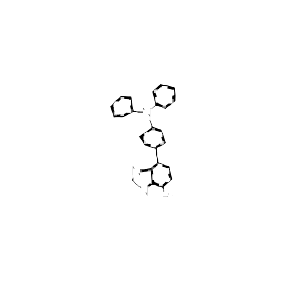 Brc1ccc(-c2ccc(N(c3ccccc3)c3ccccc3)cc2)c2c1=NCN=2